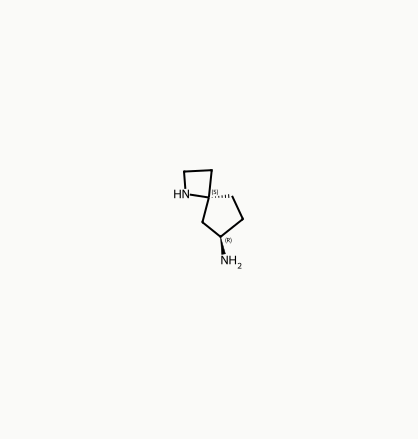 N[C@@H]1CC[C@]2(CCN2)C1